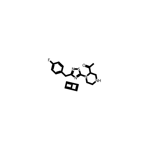 CC(=O)C1CNCCN1c1nc(Cc2ccc(F)cc2)ns1.c1cc2ccc1-2